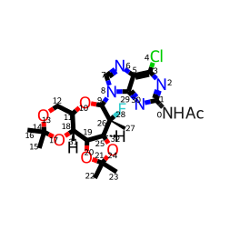 CC(=O)Nc1nc(Cl)c2ncn(C3OC4COC(C)(C)O[C@H]4C4OC(C)(C)O[C@@H]4[C@@]3(C)F)c2n1